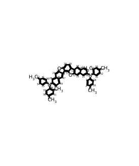 Cc1ccc(N(c2ccc3cc4c(cc3c2)oc2c4ccc3oc4cc5cc(N(c6ccc(C)cc6)c6ccc(C)cc6C)ccc5cc4c32)c2ccc(C)cc2C)cc1